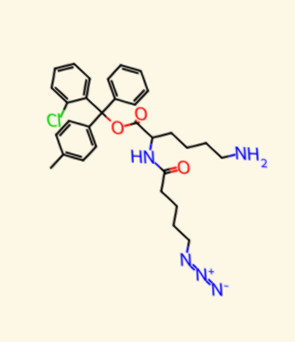 Cc1ccc(C(OC(=O)C(CCCCN)NC(=O)CCCCN=[N+]=[N-])(c2ccccc2)c2ccccc2Cl)cc1